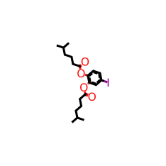 CC(C)CCCC(=O)Oc1ccc(I)cc1OC(=O)CCCC(C)C